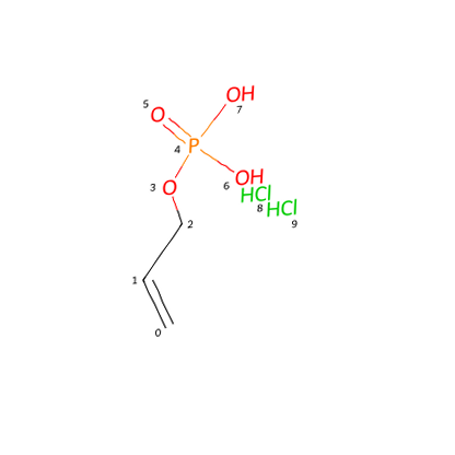 C=CCOP(=O)(O)O.Cl.Cl